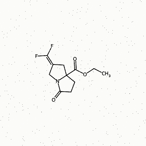 CCOC(=O)C12CCC(=O)N1CC(=C(F)F)C2